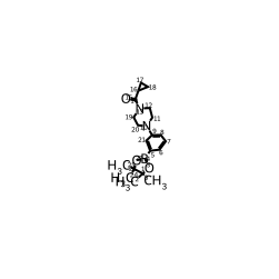 CC1(C)OB(c2cccc(N3CCN(C(=O)C4CC4)CC3)c2)OC1(C)C